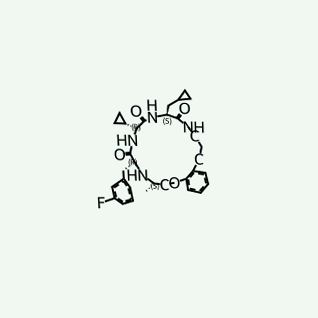 C[C@H]1COc2ccccc2CCCNC(=O)[C@H](CC2CC2)NC(=O)[C@@H](C2CC2)NC(=O)[C@@H](Cc2cccc(F)c2)N1